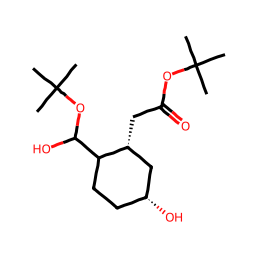 CC(C)(C)OC(=O)C[C@@H]1C[C@H](O)CCC1C(O)OC(C)(C)C